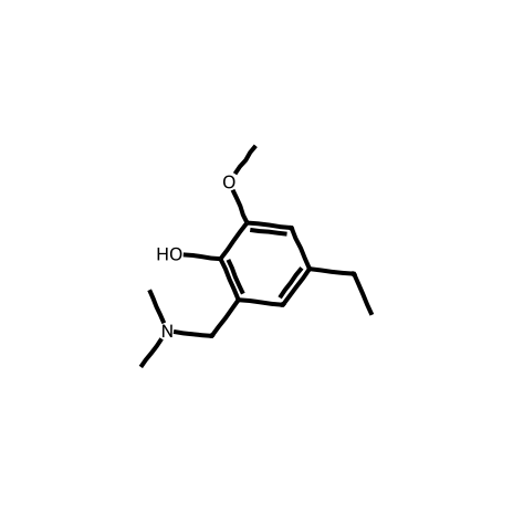 CCc1cc(CN(C)C)c(O)c(OC)c1